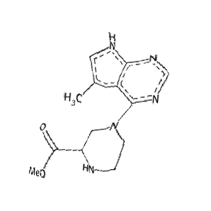 COC(=O)C1CN(c2ncnc3[nH]cc(C)c23)CCN1